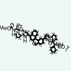 COC(=O)N[C@H](C(=O)N1CCC[C@H]1c1ncc(-c2cc3c(c4ccccc24)-c2cc(-c4cnc([C@@H]5CCCN5C(=O)[C@H](NC(=O)O)c5ccccc5)[nH]4)ccc2CO3)[nH]1)C(C)C